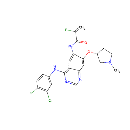 C=C(F)C(=O)Nc1cc2c(Nc3ccc(F)c(Cl)c3)ncnc2cc1O[C@@H]1CCN(C)C1